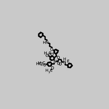 COc1ccc(CN2C(=O)C(CC(=O)NCc3ccccc3F)OC(c3cccc(OCCCNCCCc4ccccc4)c3OC)c3cc(Cl)ccc32)c(OC)c1.Cl